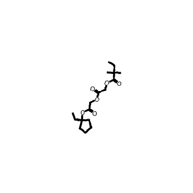 CCC1(OC(=O)COC(=O)COC(=O)C(C)(C)CC)CCCC1